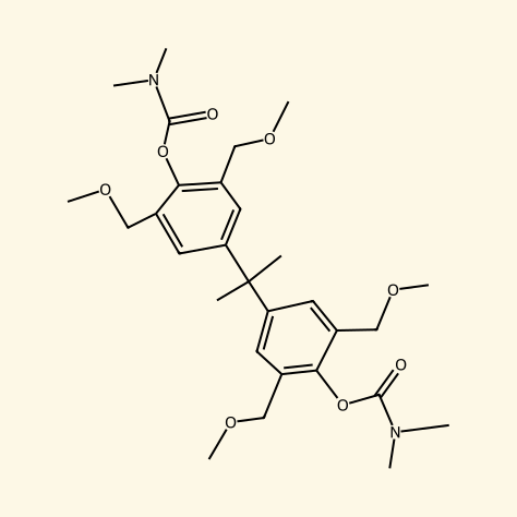 COCc1cc(C(C)(C)c2cc(COC)c(OC(=O)N(C)C)c(COC)c2)cc(COC)c1OC(=O)N(C)C